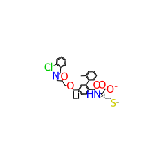 CSCC[C@H](NC(=O)c1ccc(COCc2cnc(-c3ccccc3Cl)o2)cc1-c1ccccc1C)C(=O)[O-].[Li+]